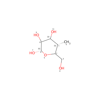 C[C@@H]1C(CO)O[C@H](O)C(O)C1O